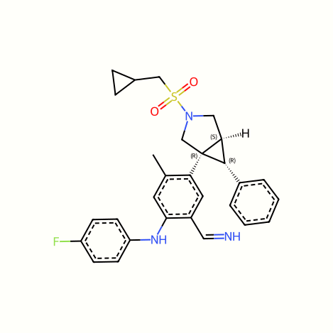 Cc1cc(Nc2ccc(F)cc2)c(C=N)cc1[C@]12CN(S(=O)(=O)CC3CC3)C[C@H]1[C@@H]2c1ccccc1